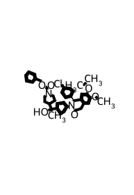 COc1cc2c(cc1OC(C)C)[C@H](c1ccc(Cl)cc1)N(c1ccc(C(C)(O)C3CCN(C(=O)OCc4ccccc4)CC3)cc1)C(=O)C2